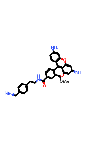 COC(=O)c1cc(C(=O)NCCc2ccc(C=[N+]=[N-])cc2)ccc1-c1c2ccc(=N)cc-2oc2cc(N)ccc12